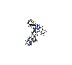 c1ccc2cc3c(cc2c1)nc1c2sc4ccccc4c2cc(-c2ccc(-c4cccc5c4ccc4cccnc45)cc2)n31